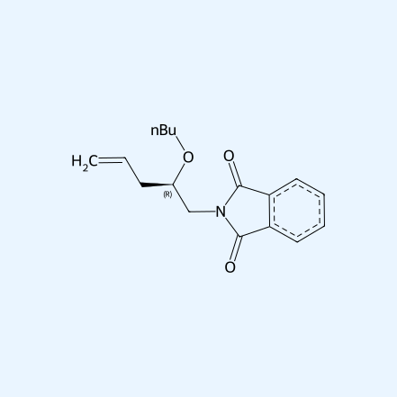 C=CC[C@H](CN1C(=O)c2ccccc2C1=O)OCCCC